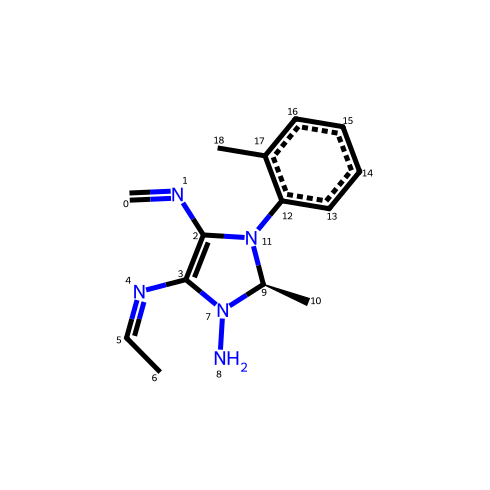 C=NC1=C(/N=C\C)N(N)[C@H](C)N1c1ccccc1C